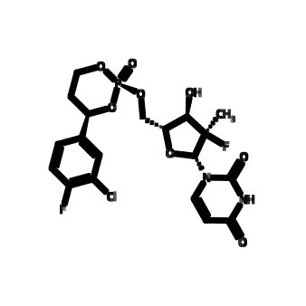 C[C@@]1(F)[C@H](O)[C@@H](CO[P@]2(=O)OCC[C@H](c3ccc(F)c(Cl)c3)O2)O[C@H]1n1ccc(=O)[nH]c1=O